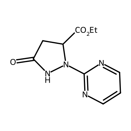 CCOC(=O)C1CC(=O)NN1c1ncccn1